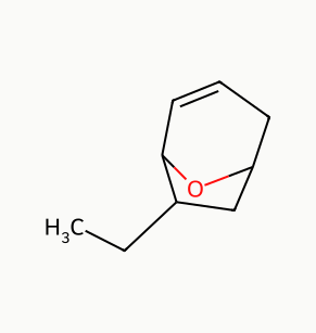 CCC1CC2CC=CC1O2